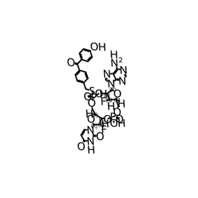 Nc1ncnc2c1ncn2[C@@H]1O[C@@H]2COP(=O)(O)O[C@H]3[C@@H](F)[C@H](n4ccc(=O)[nH]c4=O)O[C@@H]3COP(=O)(SCc3ccc(C(=O)c4ccc(O)cc4)cc3)O[C@@H]1[C@@H]2F